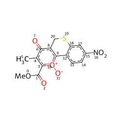 COC(=O)c1c(C)c(=O)c2c([o+]1[O-])-c1ccc([N+](=O)[O-])cc1SC2